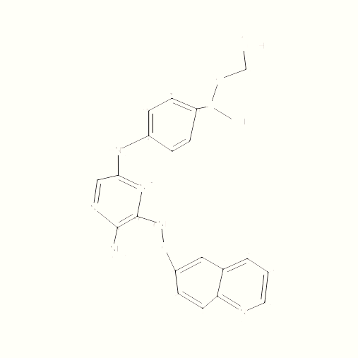 CP(OCC(=O)O)c1ccc(Nc2cnc(N)c(NCc3ccc4ncccc4c3)n2)cc1